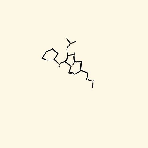 COOCc1ccn2c(NC3CCCCC3)c(CC(C)C)nc2c1